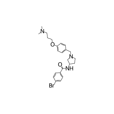 CN(C)CCCOc1ccc(CN2CCC(NC(=O)c3ccc(Br)cc3)C2)cc1